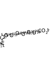 CCNCc1cccc(OCCOCCOCCOCCOCCOCCC(=O)O)c1